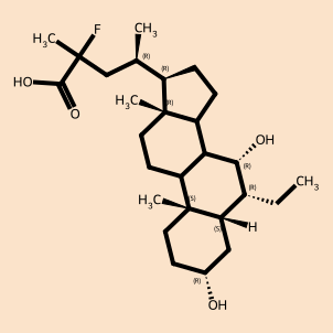 CC[C@H]1[C@@H](O)C2C3CC[C@H]([C@H](C)CC(C)(F)C(=O)O)[C@@]3(C)CCC2[C@@]2(C)CC[C@@H](O)C[C@@H]12